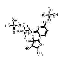 C[C@H]1O[C@@H](n2ccc(N)nc2=O)C(Cl)(Cl)[C@@H]1O.O=P(O)(O)O.O=P(O)(O)O.O=P(O)(O)O